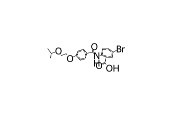 CC(C)OCCOc1ccc(C(=O)Nc2ccc(Br)cc2C(=O)O)cc1